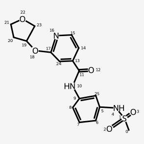 CS(=O)(=O)Nc1cccc(NC(=O)c2ccnc(OC3CCOC3)c2)c1